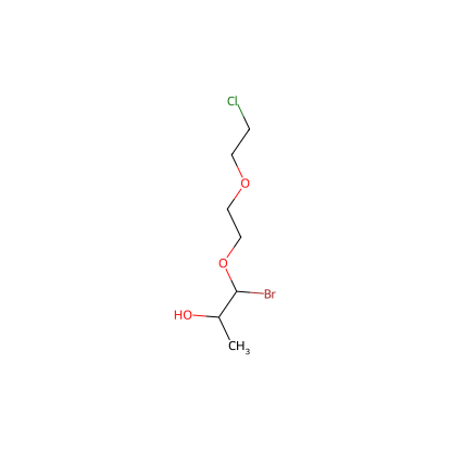 CC(O)C(Br)OCCOCCCl